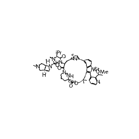 CCn1c(-c2cccnc2[C@H](C)OC)c2c3cc(ccc31)-c1csc(n1)C[C@H](NC(=O)[C@H](C(C)C)N(C)C(=O)N1C[C@H]3CN(C)C[C@H]31)C(=O)N1CCC[C@@](O)(N1)C(=O)OCC(C)(C)C2